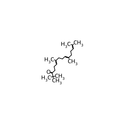 CC(C)=CCCC(C)=CCCC(C)=CCCC(=O)C(C)(C)C